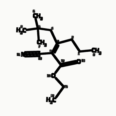 CCCC(CC(C)(C)C)=C(C#N)C(=O)OCC